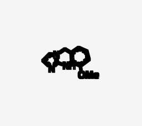 COc1cccc2c1Nc1nccn1C2